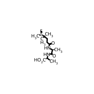 C[C@H](NC(=O)[C@H](C)NC(=O)CCC(C)(C)S(C)=S)C(=O)O